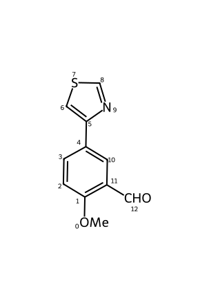 COc1ccc(-c2cscn2)cc1C=O